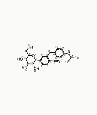 N#Cc1ccc([C@@H]2O[C@H](CO)[C@@H](O)C(O)[C@H]2O)cc1Cc1ccc(OC(F)F)cc1